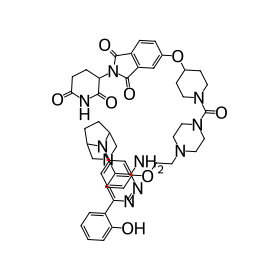 Nc1nnc(-c2ccccc2O)cc1N1CC2CCC(C1)N2c1cccc(OCCN2CCN(C(=O)N3CCC(Oc4ccc5c(c4)C(=O)N(C4CCC(=O)NC4=O)C5=O)CC3)CC2)c1